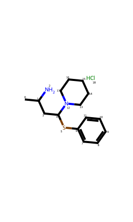 CC(N)CC(Sc1ccccc1)N1CCCCC1.Cl